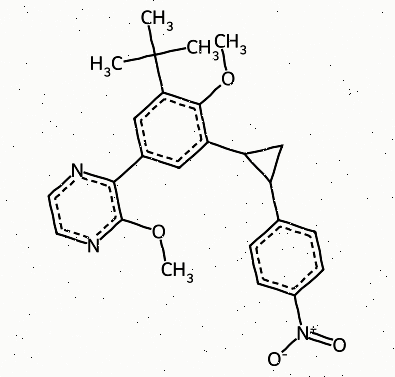 COc1nccnc1-c1cc(C2CC2c2ccc([N+](=O)[O-])cc2)c(OC)c(C(C)(C)C)c1